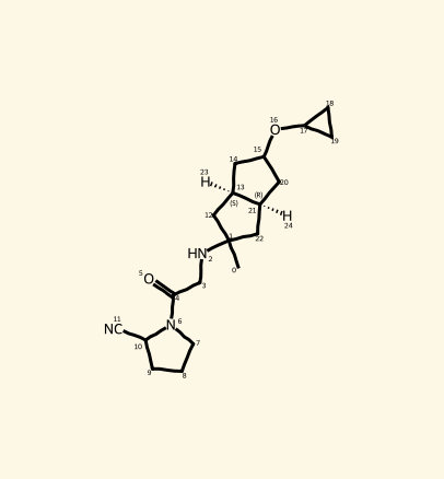 CC1(NCC(=O)N2CCCC2C#N)C[C@H]2CC(OC3CC3)C[C@H]2C1